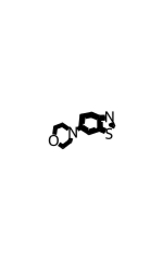 c1nc2ccc(N3CCOCC3)cc2s1